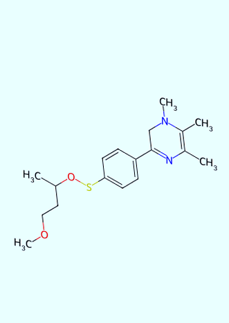 COCCC(C)OSc1ccc(C2=NC(C)=C(C)N(C)C2)cc1